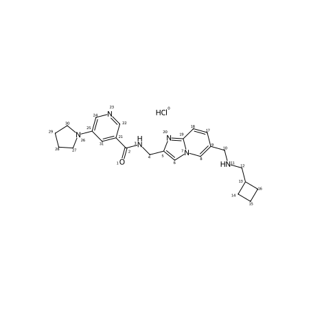 Cl.O=C(NCc1cn2cc(CNCC3CCC3)ccc2n1)c1cncc(N2CCCC2)c1